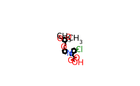 COc1cc(COc2cccc(-n3cc(C(=O)C(=O)O)c4cc(Cl)ccc43)c2)cc(OC)c1